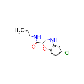 C=CCNC(=O)C1CNc2cc(Cl)ccc2O1